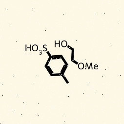 COCCO.Cc1ccc(S(=O)(=O)O)cc1